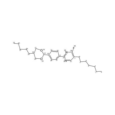 CCCCCCCc1cnc(-c2ccc(C3OCC(CCCCC)CO3)cc2)nc1F